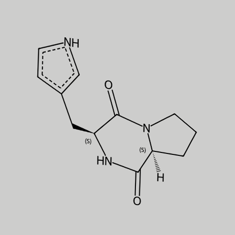 O=C1N[C@@H](Cc2cc[nH]c2)C(=O)N2CCC[C@@H]12